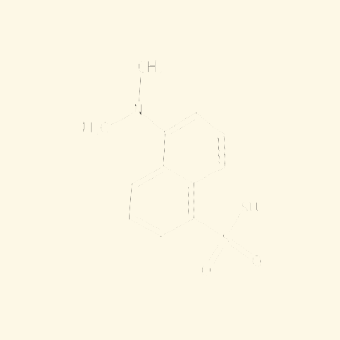 CN(C)c1cccc2c(S(=O)(=O)S)cccc12